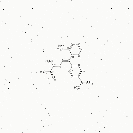 CC(C)c1ccc(/C(=C\CC(N)C(=O)[O-])c2ccccc2F)cc1.[Na+]